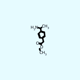 CCOC(=O)Cc1ccc(C(C)N)cc1